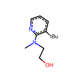 CN(CCO)c1ncccc1C(C)(C)C